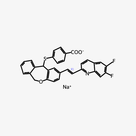 O=C([O-])c1ccc(SC2c3ccccc3COc3ccc(/C=C/c4ccc5cc(F)c(F)cc5n4)cc32)cc1.[Na+]